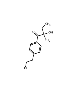 CCC(C)(O)C(=O)c1ccc(CCO)cc1